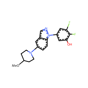 COC1CCN(c2ccc3c(cnn3-c3cc(O)c(F)c(F)c3)c2)CC1